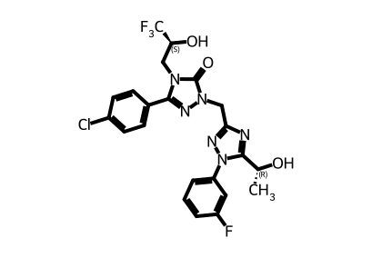 C[C@@H](O)c1nc(Cn2nc(-c3ccc(Cl)cc3)n(C[C@H](O)C(F)(F)F)c2=O)nn1-c1cccc(F)c1